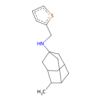 CC1C2CC3CC1CC(NCc1cccs1)(C3)C2